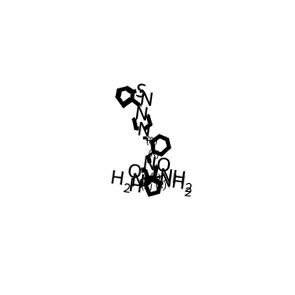 N[C@]12CC[C@@H](C1)[C@]1(N)C(=O)N(C[C@@H]3CCCC[C@H]3CN3CCN(c4nsc5ccccc45)CC3)C(=O)[C@]21N